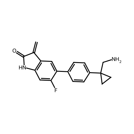 C=C1C(=O)Nc2cc(F)c(-c3ccc(C4(CN)CC4)cc3)cc21